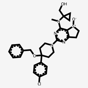 CN(c1nc(N2CCC(OCc3ccccc3)(c3ccc(Cl)cc3)CC2)nc2c1[S+]([O-])CC2)C1(CO)CC1